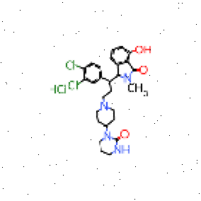 CN1C(=O)c2c(O)cccc2C1C(CCN1CCC(N2CCCNC2=O)CC1)c1ccc(Cl)c(Cl)c1.Cl